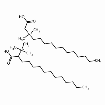 CCCCCCCCCCCCC(C(=O)O)[N+](C)(C)C.CCCCCCCCCCCC[N+](C)(C)CC(=O)O